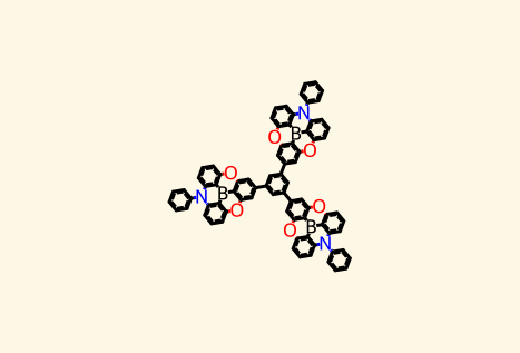 c1ccc(N2c3cccc4c3B3c5c(cc(-c6cc(-c7cc8c9c(c7)Oc7cccc%10c7B9c7c(cccc7N%10c7ccccc7)O8)cc(-c7cc8c9c(c7)Oc7cccc%10c7B9c7c(cccc7N%10c7ccccc7)O8)c6)cc5Oc5cccc2c53)O4)cc1